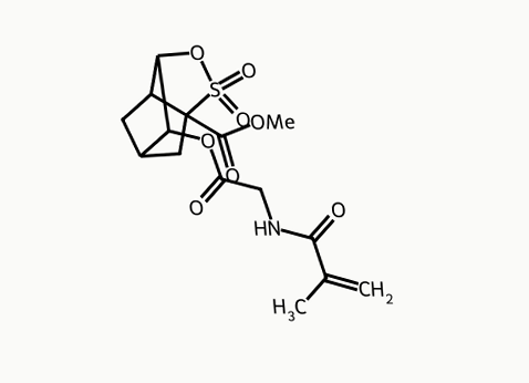 C=C(C)C(=O)NCC(=O)OC1C2CC3C1OS(=O)(=O)C3(C(=O)OC)C2